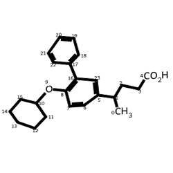 CC(CCC(=O)O)c1ccc(OC2CCCCC2)c(-c2ccccc2)c1